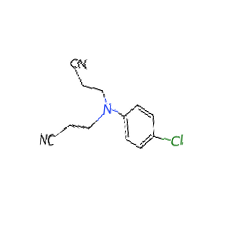 N#CCCN(CCC#N)c1ccc(Cl)cc1